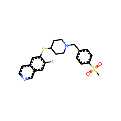 CS(=O)(=O)c1ccc(CN2CCC(Sc3cc4ccncc4cc3Cl)CC2)cc1